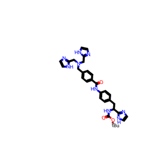 CC(C)(C)OC(=O)NC(Cc1ccc(NC(=O)c2ccc(CN(Cc3ncc[nH]3)Cc3ncc[nH]3)cc2)cc1)c1ncc[nH]1